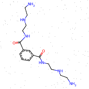 NCCNCCNC(=O)c1cccc(C(=O)NCCNCCN)c1